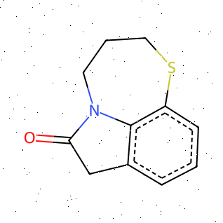 O=C1Cc2cccc3c2N1CCCS3